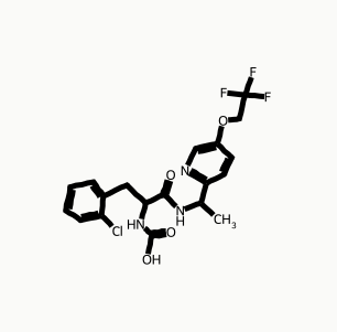 CC(NC(=O)C(Cc1ccccc1Cl)NC(=O)O)c1ccc(OCC(F)(F)F)cn1